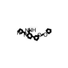 CNc1nc(-c2cccnc2)nc2ccc(-c3cccc(OCCOc4ccccc4)c3)cc12